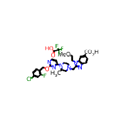 COCCn1c(CN2CCN(c3ccnc(OCc4ccc(Cl)cc4F)n3)[C@H](C)C2)nc2ccc(C(=O)O)cc21.O=C(O)C(F)(F)F